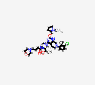 CN1CCC[C@H]1COc1nc2c(c(N3CCN(C(=O)/C=C/CN4CCOCC4)[C@@H]([C@@H](O)C#N)C3)n1)CCN(c1cccc(Cl)c1C(F)(F)F)C2